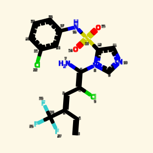 C=C/C(=C\C(Cl)=C(/N)n1cncc1S(=O)(=O)Nc1cccc(Cl)c1)C(F)(F)F